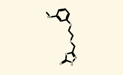 CNc1cccc(OCCSCc2n[nH]c(=O)o2)c1